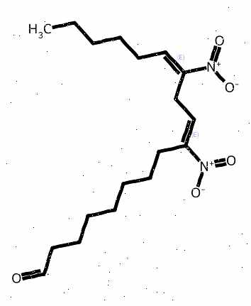 CCCCC/C=C(\C/C=C(\CCCCCCC[C]=O)[N+](=O)[O-])[N+](=O)[O-]